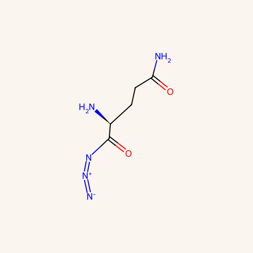 [N-]=[N+]=NC(=O)[C@@H](N)CCC(N)=O